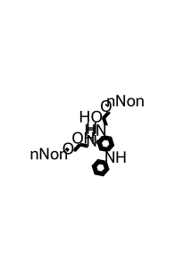 CCCCCCCCCOCC(O)CNc1ccc(Nc2ccccc2)cc1NCC(O)COCCCCCCCCC